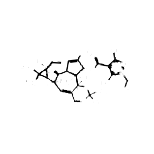 CC1=C[C@@]23CC[C@@H]4[C@@H]([C@H](C=C5COC(C)(C)O[C@H]5[C@]2(O)[C@H]1OC(=O)c1c(C)nn(CC(F)(F)F)c1C)C3=O)C4(C)C